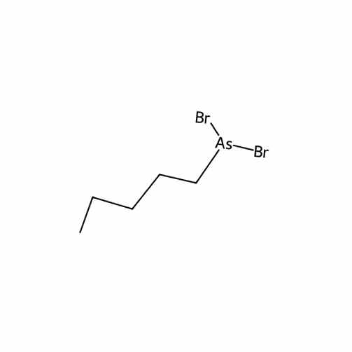 CCCCC[As](Br)Br